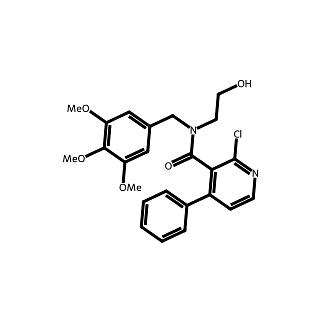 COc1cc(CN(CCO)C(=O)c2c(-c3ccccc3)ccnc2Cl)cc(OC)c1OC